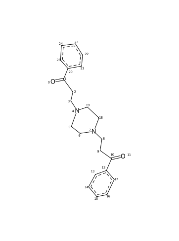 O=C(CCN1CCN(CCC(=O)c2ccccc2)CC1)c1ccccc1